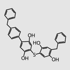 Oc1cc(Sc2cc(O)c(-c3ccc(Cc4ccccc4)cc3)cc2O)c(O)cc1Cc1ccccc1